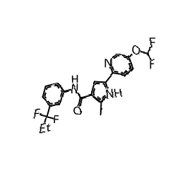 CCC(F)(F)c1cccc(NC(=O)c2cc(-c3ccc(OC(F)F)cn3)[nH]c2C)c1